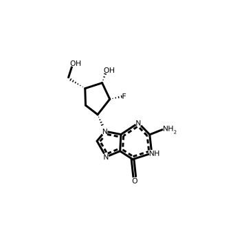 Nc1nc2c(ncn2[C@@H]2C[C@H](CO)[C@H](O)[C@@H]2F)c(=O)[nH]1